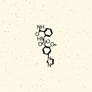 COc1cc(-n2ccnc2)ccc1S(=O)(=O)Nc1ccccc1C(N)=O